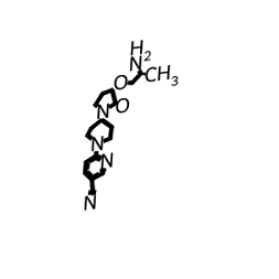 C[C@H](N)COC1CCN(C2CCN(c3ccc(C#N)cn3)CC2)C1=O